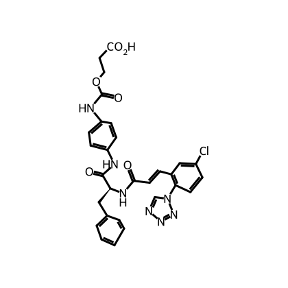 O=C(O)CCOC(=O)Nc1ccc(NC(=O)[C@H](Cc2ccccc2)NC(=O)C=Cc2cc(Cl)ccc2-n2cnnn2)cc1